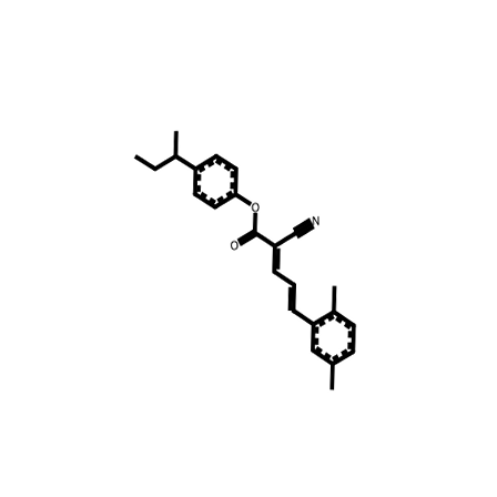 CCC(C)c1ccc(OC(=O)/C(C#N)=C/C=C/c2cc(C)ccc2C)cc1